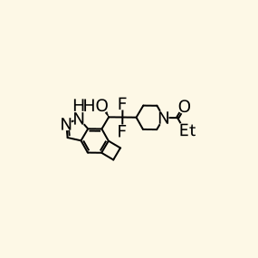 CCC(=O)N1CCC(C(F)(F)[C@H](O)c2c3c(cc4cn[nH]c24)CC3)CC1